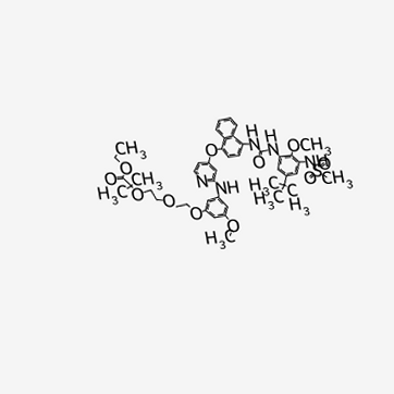 CCOC(=O)C(C)(C)OCCOCCOc1cc(Nc2cc(Oc3ccc(NC(=O)Nc4cc(C(C)(C)C)cc(NS(C)(=O)=O)c4OC)c4ccccc34)ccn2)cc(OC)c1